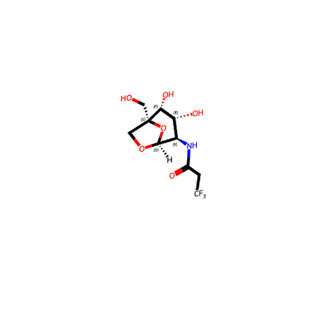 O=C(CC(F)(F)F)N[C@H]1[C@H]2OC[C@](CO)(O2)[C@H](O)[C@@H]1O